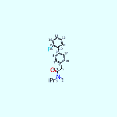 CC(C)N(C)C(=O)Cc1ccc(-c2ccccc2F)cc1